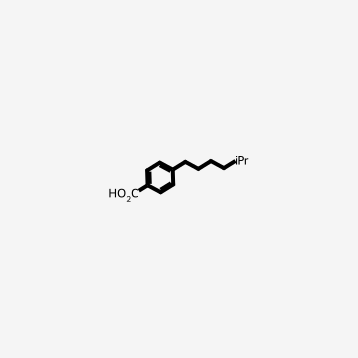 CC(C)CCCCc1ccc(C(=O)O)cc1